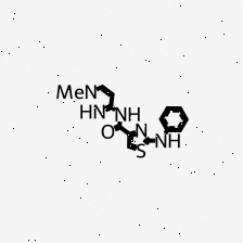 CN/C=C\C(=N)NC(=O)c1csc(Nc2ccccc2)n1